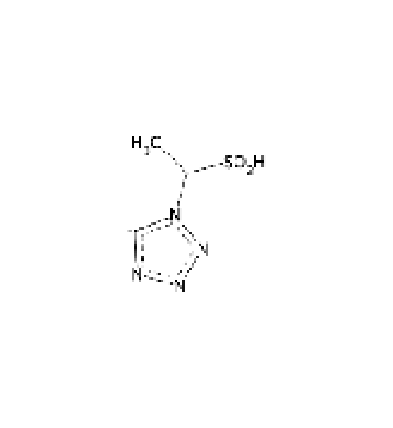 CC(n1[c]nnn1)S(=O)(=O)O